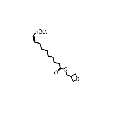 CCCCCCCC/C=C\CCCCCCCC(=O)OCC1COC1